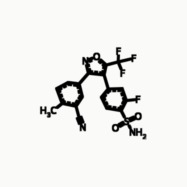 Cc1ccc(-c2noc(C(F)(F)F)c2-c2ccc(S(N)(=O)=O)c(F)c2)cc1C#N